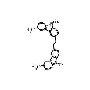 CCCCn1c2ccc(C)cc2c2cc(CCc3ccc4c(c3)c3cc(C)ccc3n4CC)ccc21